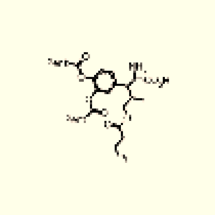 CCCC(C)C(=O)Oc1ccc(C(C(C)COC(=O)CCC(C)C)[C@H](N)C(=O)O)cc1OC(=O)C(C)CCC